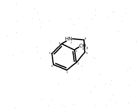 Cc1c2cccc1NCC2